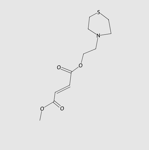 COC(=O)/C=C/C(=O)OCCN1CCSCC1